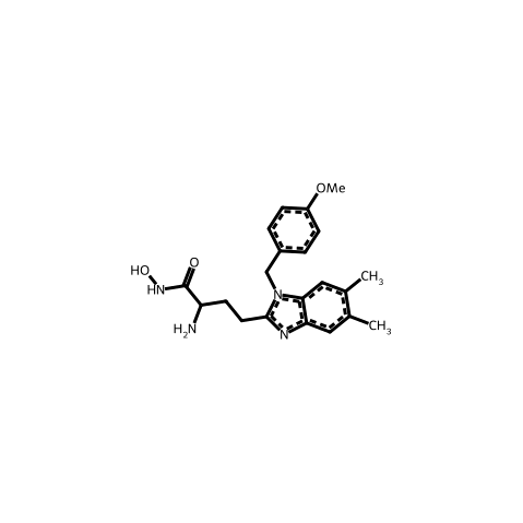 COc1ccc(Cn2c(CCC(N)C(=O)NO)nc3cc(C)c(C)cc32)cc1